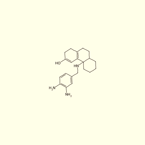 Nc1ccc(CNC23CCCCC2CCC2=C3C=C(O)CC2)cc1N